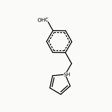 O=Cc1ccc(C[SH]2C=CC=C2)cc1